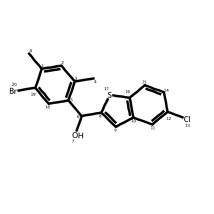 Cc1cc(C)c(C(O)c2cc3cc(Cl)ccc3s2)cc1Br